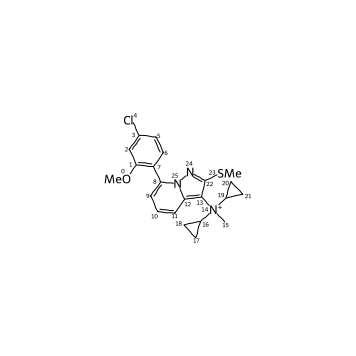 COc1cc(Cl)ccc1-c1cccc2c([N+](C)(C3CC3)C3CC3)c(SC)nn12